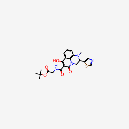 CN1c2cccc3c(O)c(C(=O)NCC(=O)OC(C)(C)C)c(=O)n(c23)CC1c1cncs1